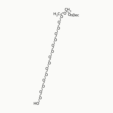 CCCCCCCCCCOCC(C)OCC(C)OCCOCCOCCOCCOCCOCCOCCOCCOCCOCCOCCOCCOCCOCCOCCO